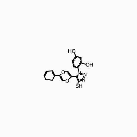 Oc1ccc(-n2nnc(S)c2C2=COC(C3=CC=CCC3)=CO2)c(O)c1